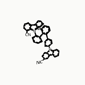 N#Cc1ccc2c(c1)c1ccccc1n2-c1ccc(-c2cccc(C#N)c2-c2ccccc2-n2c3ccccc3c3cccc(C#N)c32)cc1